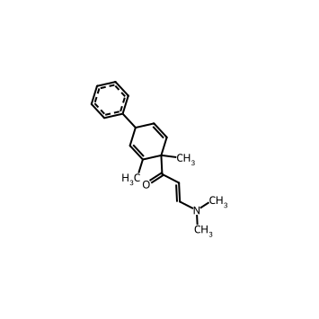 CC1=CC(c2ccccc2)C=CC1(C)C(=O)/C=C/N(C)C